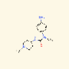 CN1CCC(NC(=O)N(C)c2ccc(N)cc2)CC1